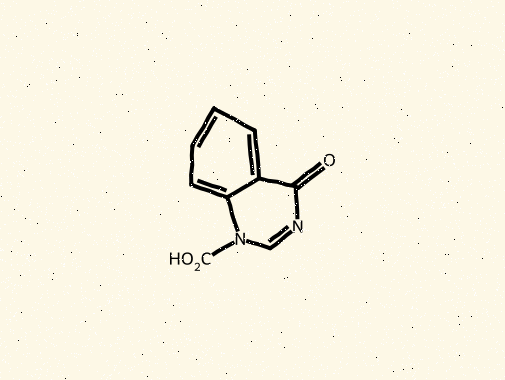 O=C(O)n1cnc(=O)c2ccccc21